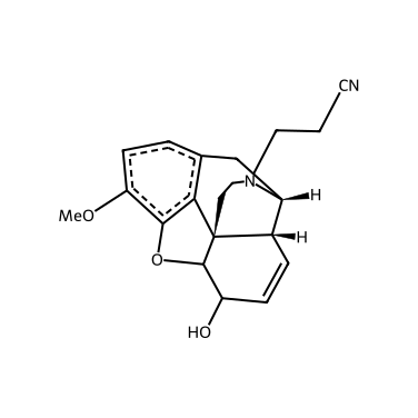 COc1ccc2c3c1OC1C(O)C=C[C@H]4[C@@H](C2)N(CCC#N)CC[C@]314